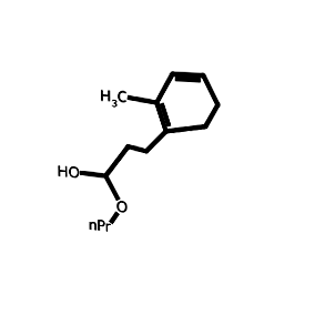 CCCOC(O)CCC1=C(C)C=CCC1